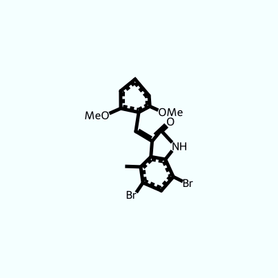 COc1cccc(OC)c1C=C1C(=O)Nc2c(Br)cc(Br)c(C)c21